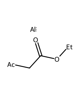 CCOC(=O)CC(C)=O.[Al]